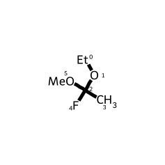 CCOC(C)(F)OC